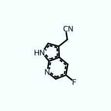 N#CCc1c[nH]c2ncc(F)cc12